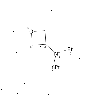 CCCN(CC)C1COC1